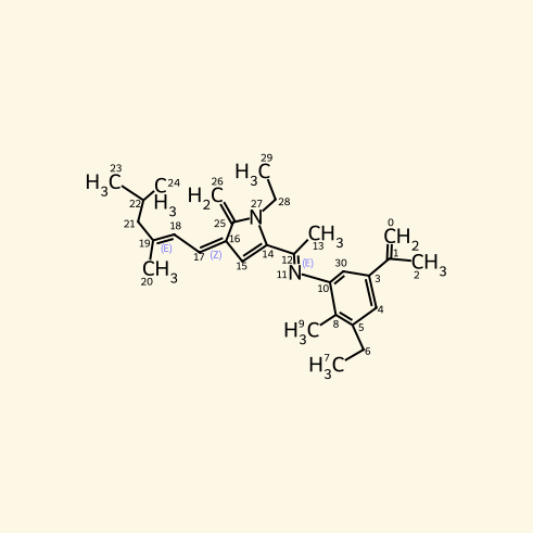 C=C(C)c1cc(CC)c(C)c(/N=C(\C)c2c/c(=C/C=C(\C)CC(C)C)c(=C)n2CC)c1